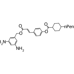 CCCCCC1CCC(C(=O)Oc2ccc(C=CC(=O)OCc3cc(N)cc(N)c3)cc2)CC1